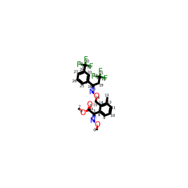 CO/N=C(/C(=O)OC)c1cccc(C)c1CO/N=C(\CC(F)(F)F)c1cccc(C(F)(F)F)c1